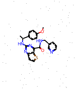 COc1ccc(C(C)Nc2nc(C(=O)NCc3cccnc3)c3sccc3n2)cc1